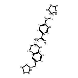 O=C(N[C@H]1COc2cc(CN3CCCC3)ccc2C1)c1ccc(OC[C@@H]2CCCO2)cc1